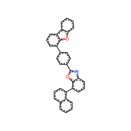 c1ccc2c(-c3cccc4nc(-c5ccc(-c6cccc7c6oc6ccccc67)cc5)oc34)cccc2c1